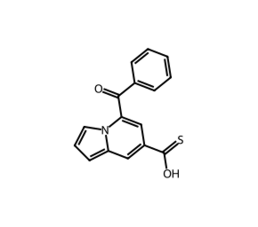 O=C(c1ccccc1)c1cc(C(O)=S)cc2cccn12